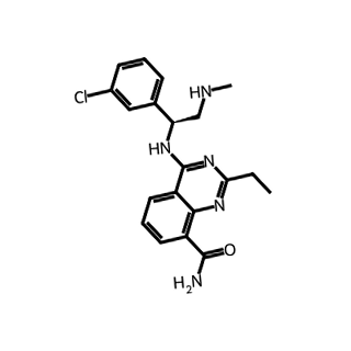 CCc1nc(N[C@H](CNC)c2cccc(Cl)c2)c2cccc(C(N)=O)c2n1